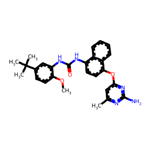 COc1ccc(C(C)(C)C)cc1NC(=O)Nc1ccc(Oc2cc(C)nc(N)n2)c2ccccc12